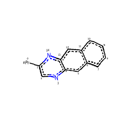 CCCc1cnc2cc3ccccc3cc2n1